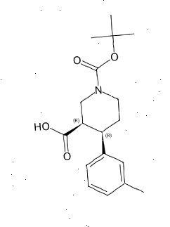 Cc1cccc([C@@H]2CCN(C(=O)OC(C)(C)C)C[C@@H]2C(=O)O)c1